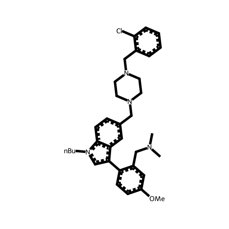 CCCCn1cc(-c2ccc(OC)cc2CN(C)C)c2cc(CN3CCN(Cc4ccccc4Cl)CC3)ccc21